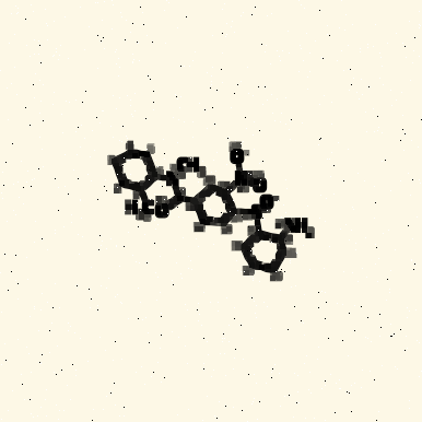 Cc1ccccc1N(C)C(=O)c1ccc([S+]([O-])c2ccccc2N)c([N+](=O)[O-])c1